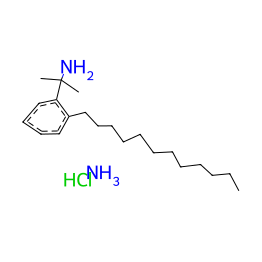 CCCCCCCCCCCCc1ccccc1C(C)(C)N.Cl.N